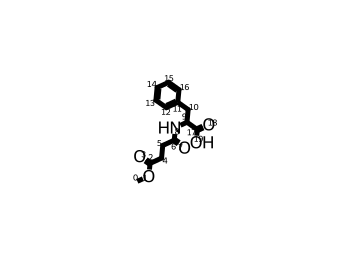 COC(=O)CCC(=O)NC(Cc1ccccc1)C(=O)O